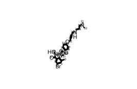 Cc1cc(Br)cc(C(=O)NO)c1NCS(=O)(=O)c1ccc(OCC#CCNCCCN(C)C)cc1